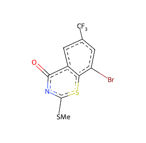 CSc1nc(=O)c2cc(C(F)(F)F)cc(Br)c2s1